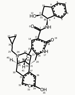 O=C(N[C@@H]1c2ccccc2C[C@@H]1O)c1cc2c([nH]c1=O)C[C@]13CCN(CC4CC4)[C@H](Cc4ccc(O)cc41)[C@@H]3C2